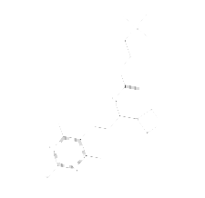 C[Si](C)(C)CCOC(=O)NC(COc1c(Cl)nc(Cl)nc1Cl)C1COC1